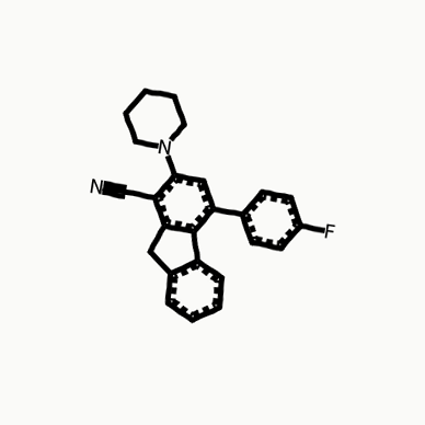 N#Cc1c(N2CCCCC2)cc(-c2ccc(F)cc2)c2c1Cc1ccccc1-2